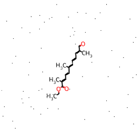 CCOC(=O)/C(C)=C/C=C/C(C)=C/C=C/C=C(\C)C=O